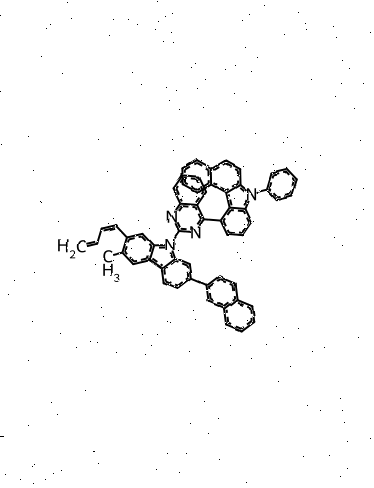 C=C/C=C\c1cc2c(cc1C)c1ccc(-c3ccc4ccccc4c3)cc1n2-c1nc(-c2cccc3c2c2c4ccccc4ccc2n3-c2ccccc2)c2ccccc2n1